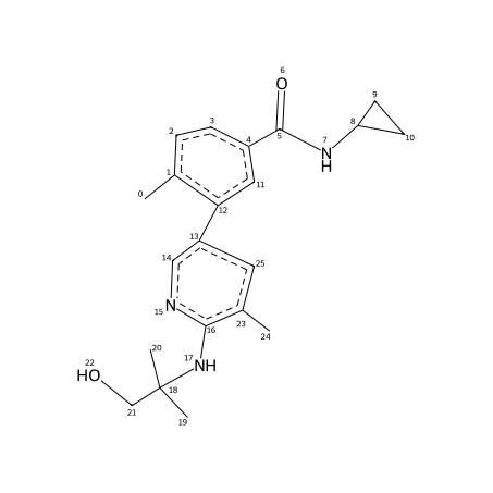 Cc1ccc(C(=O)NC2CC2)cc1-c1cnc(NC(C)(C)CO)c(C)c1